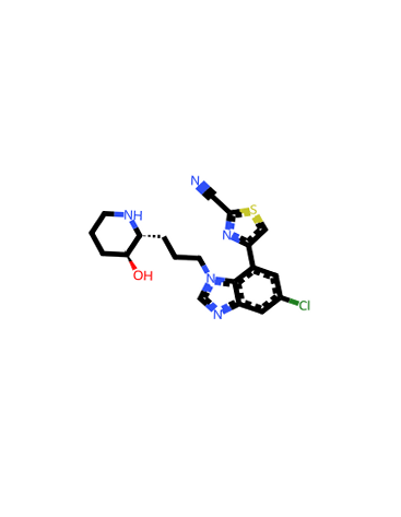 N#Cc1nc(-c2cc(Cl)cc3ncn(CCC[C@H]4NCCC[C@@H]4O)c23)cs1